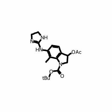 CC(=O)OC1CN(C(=O)OC(C)(C)C)c2c1ccc(NC1=NCCN1)c2C